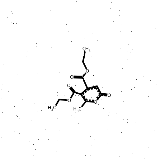 CCCOC(=O)c1cc(=O)oc(C)c1C(=O)OCC